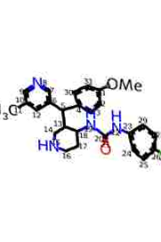 COc1ccc(C(c2cncc(C)c2)C2CNCCC2NC(=O)Nc2ccc(Cl)cc2)cc1